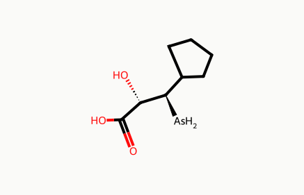 O=C(O)[C@H](O)[C@H]([AsH2])C1CCCC1